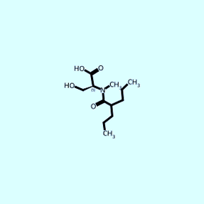 CCCC(CCC)C(=O)N(C)[C@@H](CO)C(=O)O